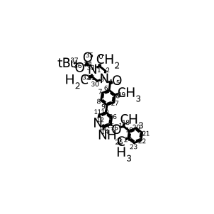 C=C1CN(C(=O)c2ccc(-c3cnc(N)c(OC(C)c4ccccc4C)c3)cc2C)CC(=C)N1C(=O)OC(C)(C)C